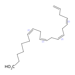 C=CC/C=C\C/C=C\C/C=C\C/C=C\CCCCCC(=O)O